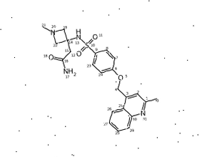 Cc1cc(COc2ccc(S(=O)(=O)NC3(CC(N)=O)CN(C)C3)cc2)c2ccccc2n1